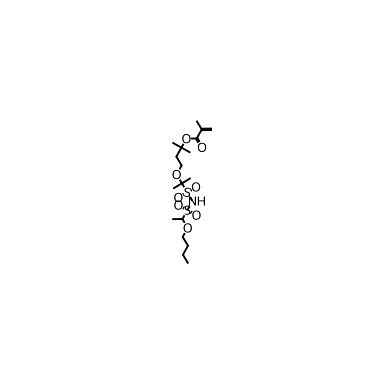 C=C(C)C(=O)OC(C)(C)CCOC(C)(C)S(=O)(=O)NS(=O)(=O)C(C)OCCCC